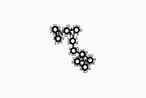 c1cc(-c2ccc(-n3c4ccccc4c4ccc(-n5c6ccccc6c6ccccc65)cc43)cc2)cc(-c2ccc3c(c2)C2(c4ccccc4-c4ccccc42)c2ccccc2-3)c1